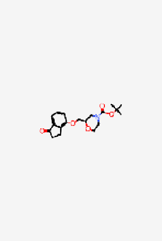 CC(C)(C)OC(=O)N1CCO[C@@H](COc2cccc3c2CCC3=O)C1